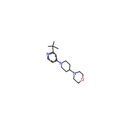 CC(C)(C)c1cc(N2CCC(N3CCOCC3)CC2)ccn1